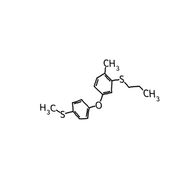 CCCSc1cc(Oc2ccc(SC)cc2)ccc1C